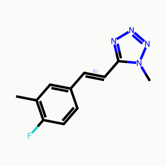 Cc1cc(/C=C/c2nnnn2C)ccc1F